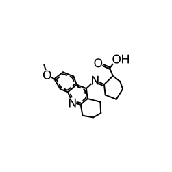 COc1ccc2c(N=C3CCCCC3C(=O)O)c3c(nc2c1)CCCC3